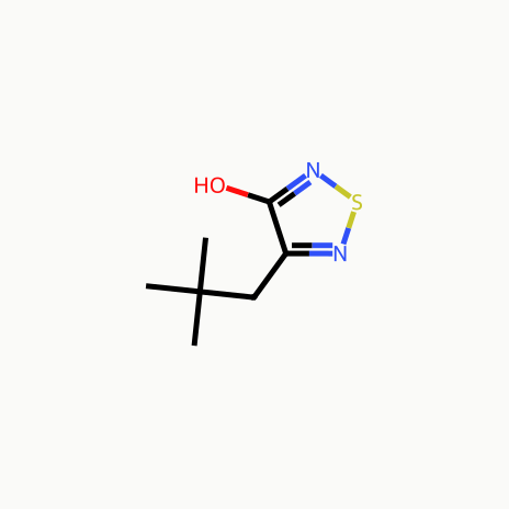 CC(C)(C)Cc1nsnc1O